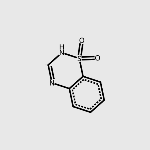 O=S1(=O)N[C]=Nc2ccccc21